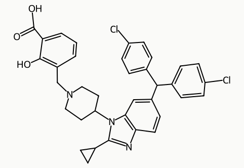 O=C(O)c1cccc(CN2CCC(n3c(C4CC4)nc4ccc(C(c5ccc(Cl)cc5)c5ccc(Cl)cc5)cc43)CC2)c1O